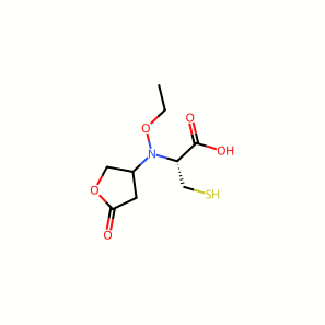 CCON(C1COC(=O)C1)[C@@H](CS)C(=O)O